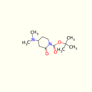 CN(C)C1CCN(C(=O)OC(C)(C)C)C(=O)C1